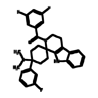 CN(C)C1(c2cccc(F)c2)CCC2(CC1)c1[nH]c3ccccc3c1CCN2C(=O)c1cc(F)cc(F)c1